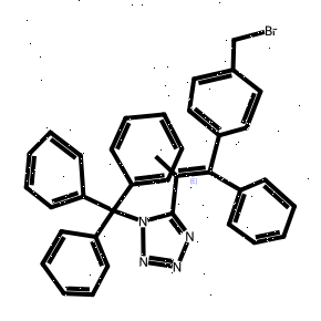 C/C(=C(/c1ccccc1)c1ccc(CBr)cc1)c1nnnn1C(c1ccccc1)(c1ccccc1)c1ccccc1